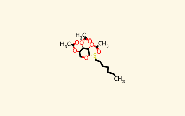 CCCCCCCS[C@@H]1OC[C@@H](OC(C)=O)[C@H](OC(C)=O)[C@H]1OC(C)=O